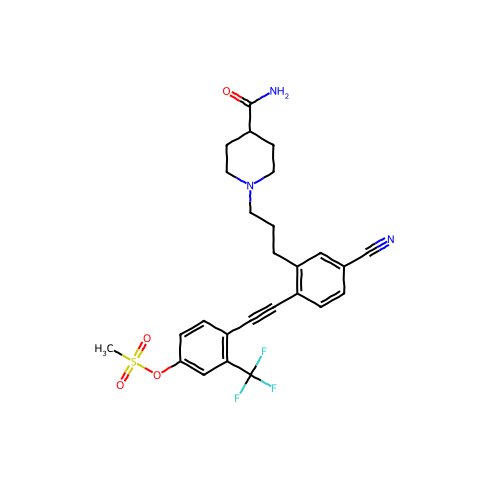 CS(=O)(=O)Oc1ccc(C#Cc2ccc(C#N)cc2CCCN2CCC(C(N)=O)CC2)c(C(F)(F)F)c1